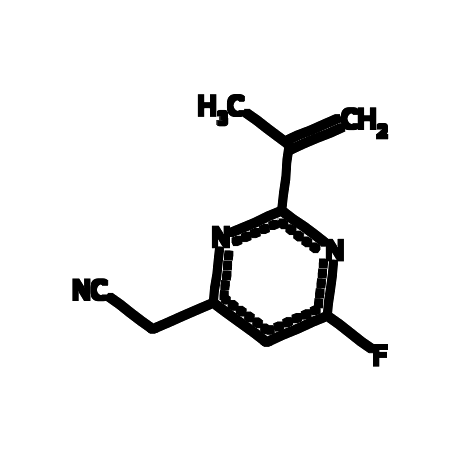 C=C(C)c1nc(F)cc(CC#N)n1